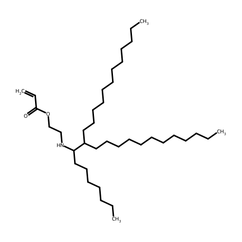 C=CC(=O)OCCNC(CCCCCCC)C(CCCCCCCCCCCC)CCCCCCCCCCCC